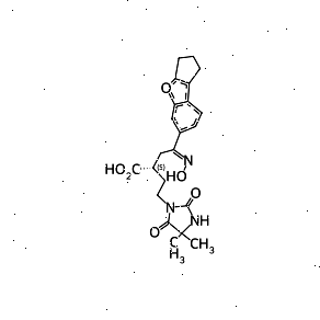 CC1(C)NC(=O)N(CC[C@@H](CC(=NO)c2ccc3c4c(oc3c2)CCC4)C(=O)O)C1=O